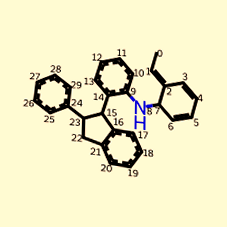 CC=C1C=CC=CC1Nc1ccccc1C1c2ccccc2CC1c1ccccc1